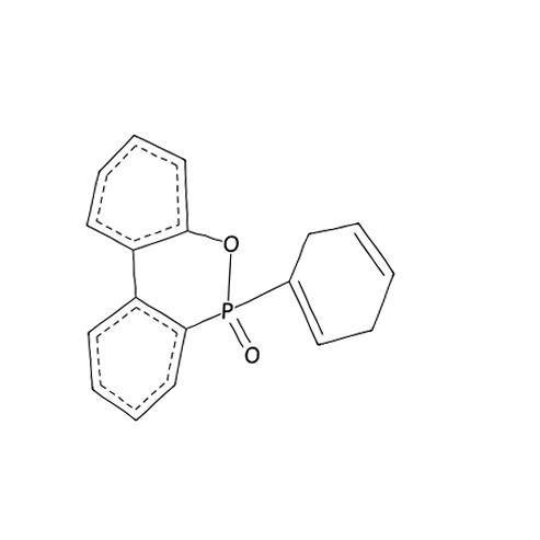 O=P1(C2=CCC=CC2)Oc2ccccc2-c2ccccc21